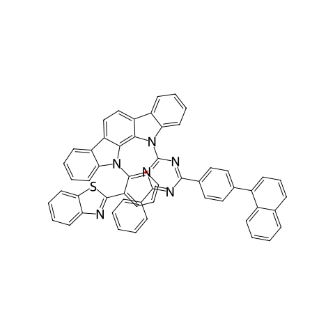 c1ccc(-c2nc(-c3ccc(-c4cccc5ccccc45)cc3)nc(-n3c4ccccc4c4ccc5c6ccccc6n(-c6ccccc6-c6nc7ccccc7s6)c5c43)n2)cc1